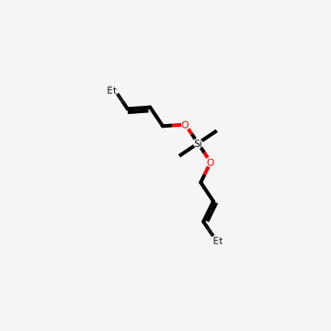 CCC=CCO[Si](C)(C)OCC=CCC